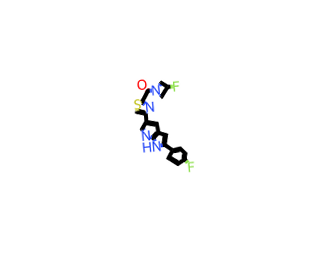 O=C(c1nc(-c2cnc3[nH]c(-c4ccc(F)cc4)cc3c2)cs1)N1CC(F)C1